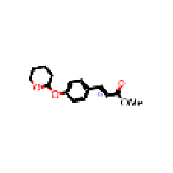 COC(=O)/C=C/c1ccc(OC2CCCCO2)cc1